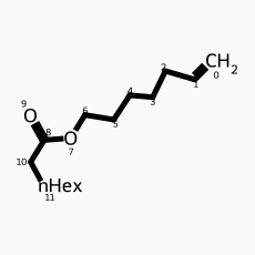 C=CCCCCCOC(=O)CCCCCCC